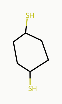 SC1CCC(S)CC1